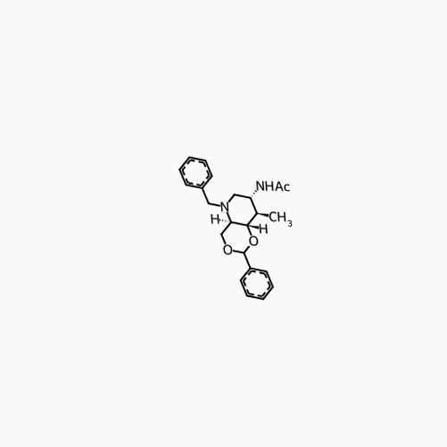 CC(=O)N[C@H]1CN(Cc2ccccc2)[C@@H]2COC(c3ccccc3)O[C@H]2[C@@H]1C